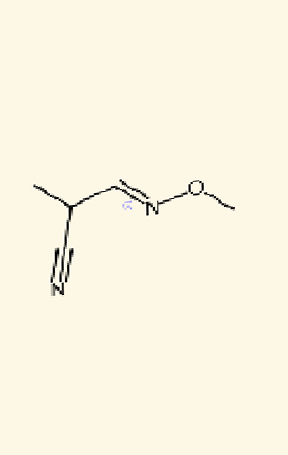 CO/N=C/C(C)C#N